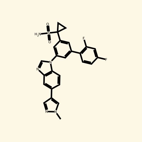 Cn1cc(-c2ccc3c(c2)ncn3-c2cc(-c3ccc(F)cc3F)cc(C3(S(N)(=O)=O)CC3)c2)cn1